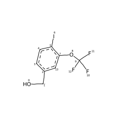 O[CH]c1ccc(I)c(OC(F)(F)F)c1